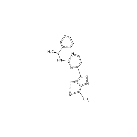 Cc1nccn2c(-c3ccnc(N[C@@H](C)c4ccccc4)n3)cnc12